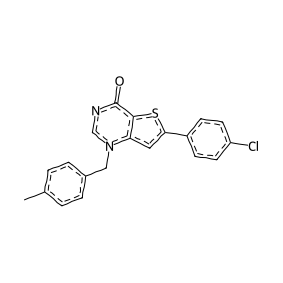 Cc1ccc(Cn2cnc(=O)c3sc(-c4ccc(Cl)cc4)cc32)cc1